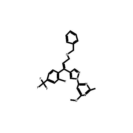 COc1cc(-n2cc(/C(=C\COCc3ccccc3)c3ccc(C(F)(F)F)cc3F)cn2)nc(C)n1